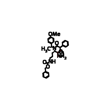 COc1ccc([C@H](C)N(C(=O)C(c2ccccc2)c2ccccc2)[C@H](CCCNC(=O)OCc2ccccc2)C(N)=O)cc1